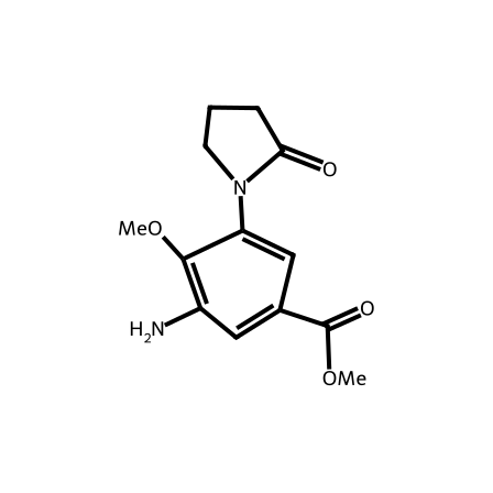 COC(=O)c1cc(N)c(OC)c(N2CCCC2=O)c1